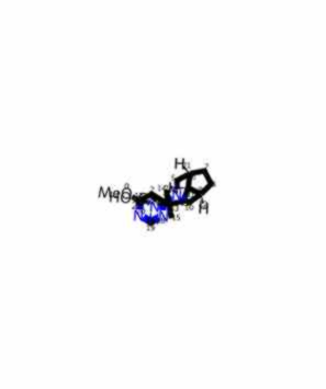 COc1cc(N2C[C@H]3CC[C@@H](C2)[C@H]3CC(C)(C)NC(=O)O)ncn1